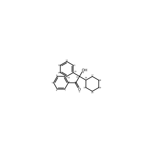 O=C(c1ccccc1)C(O)(c1ccccc1)C1CCCCC1